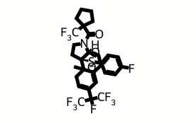 CC12CC=C(C(F)(C(F)(F)F)C(F)(F)F)C=C1CC[C@H]1N(C(=O)C3(C(F)(F)F)CCCC3)CC[C@]12S(=O)(=O)c1ccc(F)cc1